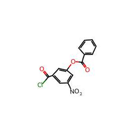 O=C(Cl)c1cc(OC(=O)c2ccccc2)cc([N+](=O)[O-])c1